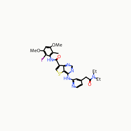 CCN(CC)C(=O)Cc1ccnc(Nc2ncnc3c(C(=O)Nc4c(C)c(OC)cc(OC)c4I)csc23)c1